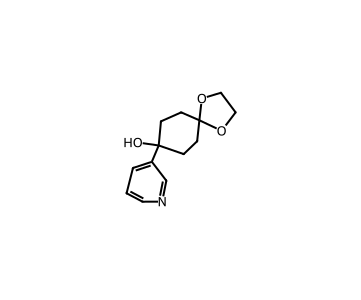 OC1(c2cccnc2)CCC2(CC1)OCCO2